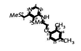 CSCc1ncnc(NCCOc2ccc(C)cc2C)c1SC